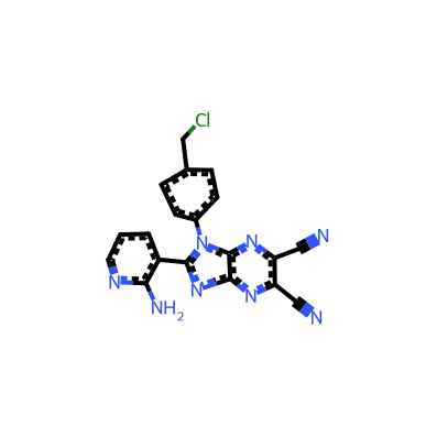 N#Cc1nc2nc(-c3cccnc3N)n(-c3ccc(CCl)cc3)c2nc1C#N